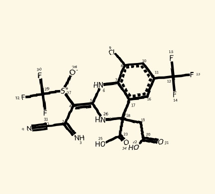 N#CC(=N)/C(=C1/Nc2c(Cl)cc(C(F)(F)F)cc2C(CC(=O)O)(C(=O)O)N1)[S+]([O-])C(F)(F)F